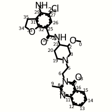 COC1CN(CCn2c(C)nc3ccccc3c2=O)CCC1NC(=O)c1cc(Cl)c(N)c2c1OCC2